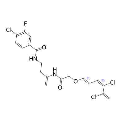 C=C(CCNC(=O)c1ccc(Cl)c(F)c1)NC(=O)CO/C=C/C=C(/Cl)C(=C)Cl